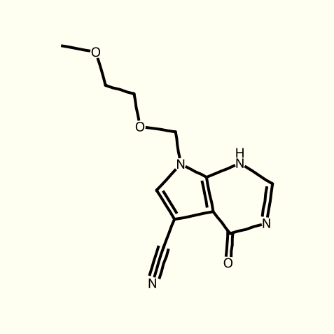 COCCOCn1cc(C#N)c2c(=O)nc[nH]c21